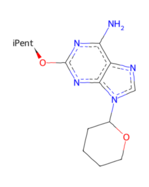 CCC[C@H](C)Oc1nc(N)c2ncn(C3CCCCO3)c2n1